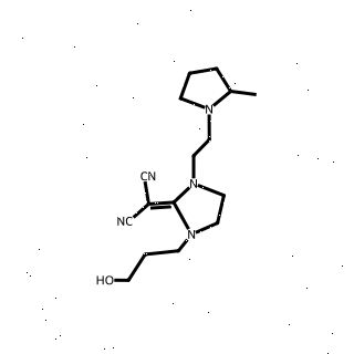 CC1CCCN1CCN1CCN(CCCO)C1=C(C#N)C#N